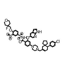 O=C(NS(=O)(=O)c1ccc(OCC2(F)CCOCC2)c([N+](=O)[O-])c1)c1ccc(N2CCN(CC3=CCC(c4ccc(Cl)cc4)C4(CCCC4)C3)CC2)cc1Oc1cnc2[nH]ccc2c1